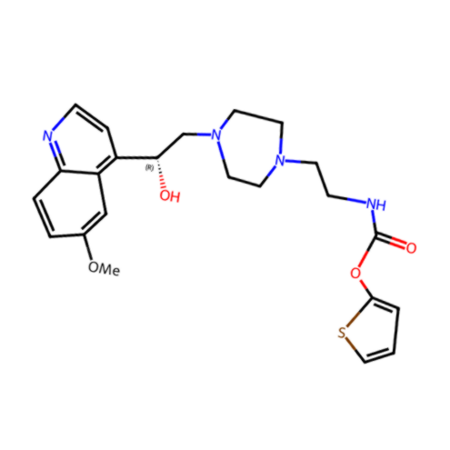 COc1ccc2nccc([C@@H](O)CN3CCN(CCNC(=O)Oc4cccs4)CC3)c2c1